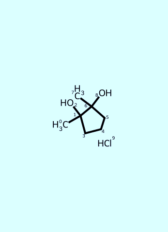 CC1(O)CCCC1(C)O.Cl